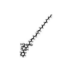 CCC=CCC=CCC=CCC=CCC=CCC=CCCC(=O)NCC(NC(=O)c1cccnc1)C(=O)O